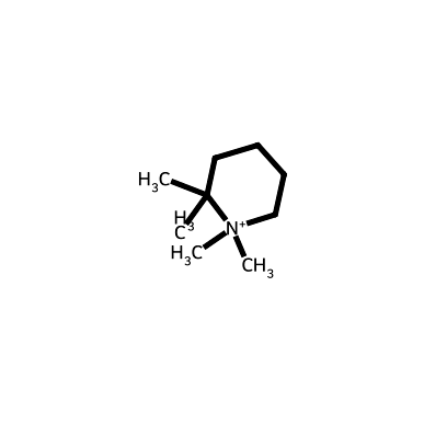 CC1(C)CCCC[N+]1(C)C